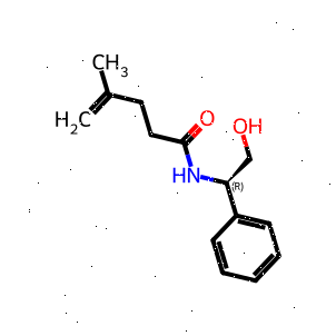 C=C(C)CCC(=O)N[C@@H](CO)c1ccccc1